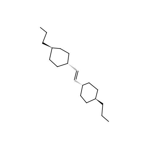 CCC[C@H]1CC[C@H](/C=C/[C@H]2CC[C@H](CCC)CC2)CC1